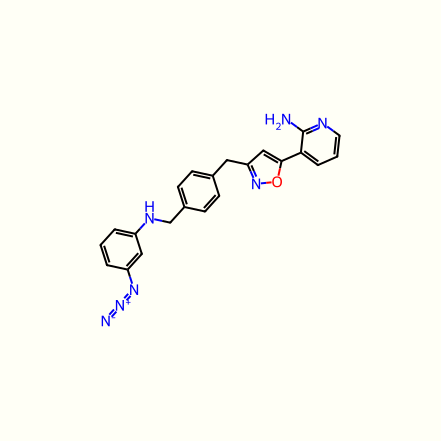 [N-]=[N+]=Nc1cccc(NCc2ccc(Cc3cc(-c4cccnc4N)on3)cc2)c1